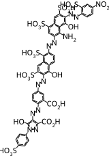 Nc1c(N=Nc2ccc3c(O)c(N=Nc4ccc(N=Nc5c(C(=O)O)nn(-c6ccc(S(=O)(=O)O)cc6)c5O)c(C(=O)O)c4)c(S(=O)(=O)O)cc3c2S(=O)(=O)O)cc(S(=O)(=O)O)c2cc(S(=O)(=O)O)c(N=Nc3ccc([N+](=O)[O-])cc3S(=O)(=O)O)c(O)c12